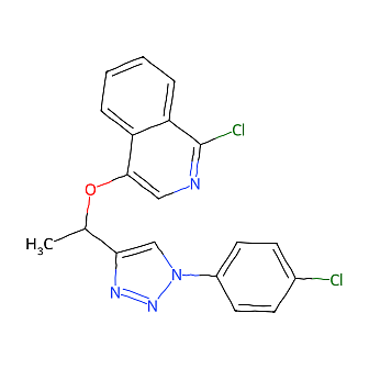 CC(Oc1cnc(Cl)c2ccccc12)c1cn(-c2ccc(Cl)cc2)nn1